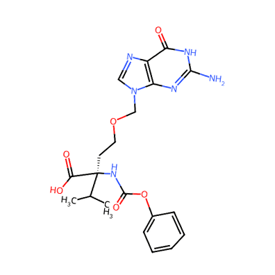 CC(C)[C@](CCOCn1cnc2c(=O)[nH]c(N)nc21)(NC(=O)Oc1ccccc1)C(=O)O